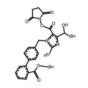 CCCc1nc(C(O)C(C)(C)C)c(C(=O)ON2C(=O)CCC2=O)n1Cc1ccc(-c2ccccc2C(=O)OC(C)(C)C)cc1